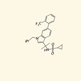 CC(C)Cn1cc(C(C)(C)NS(=O)(=O)C2CC2)c2ccc(-c3ccccc3C(F)(F)F)cc21